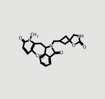 Cc1ccc(=O)n(C)c1CC1c2ccccc2C(=O)N1CC1CC2(CNC(=O)O2)C1